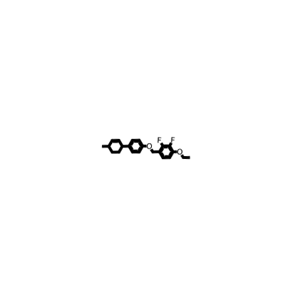 CCOc1ccc(COc2ccc(C3C=CC(C)CC3)cc2)c(F)c1F